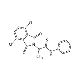 CN(C(=S)Nc1ccccc1)N1C(=O)c2c(Cl)ccc(Cl)c2C1=O